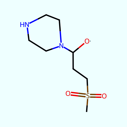 CS(=O)(=O)CCC([O])N1CCNCC1